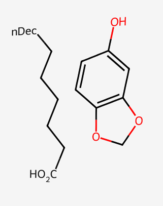 CCCCCCCCCCCCCCCC(=O)O.Oc1ccc2c(c1)OCO2